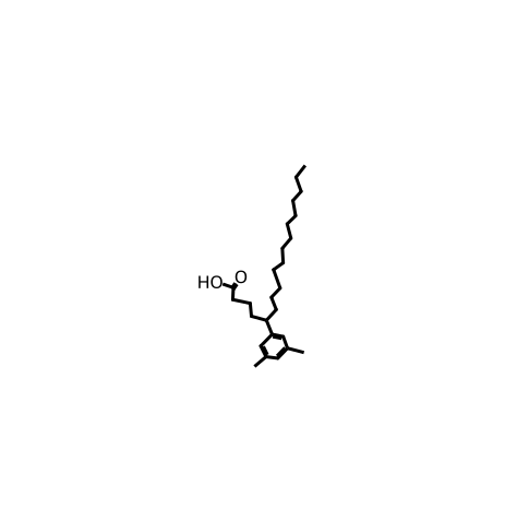 CCCCCCCCCCCCCC(CCCC(=O)O)c1cc(C)cc(C)c1